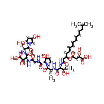 CC(C)CCCCCCCCCCC(CC(=O)N[C@@H](C(=O)N[C@H](C)C(=O)N1CC[C@H](O)[C@H]1C(=O)NCC(=O)N[C@@H](C(=O)N[C@H](CO)C(=O)N1CC[C@H](O)C1)[C@@H](O)C(=O)O)[C@@H](C)O)OC(=O)C[C@H](O)C(=O)O